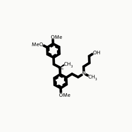 COc1ccc([C@H](C)Cc2ccc(OC)c(OC)c2)c(CCN(C)CCCO)c1